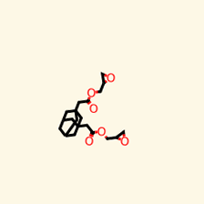 O=C(CC12CC3CC(C1)CC(CC(=O)OCC1CO1)(C3)C2)OCC1CO1